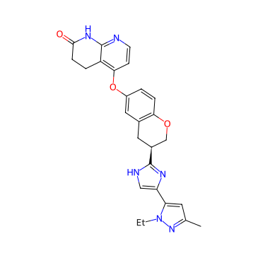 CCn1nc(C)cc1-c1c[nH]c([C@@H]2COc3ccc(Oc4ccnc5c4CCC(=O)N5)cc3C2)n1